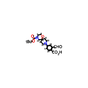 CC(C)(C)OC(=O)N1CCOC2(CCN(c3ccc(C(=O)O)c(C=O)c3)CC2)C1